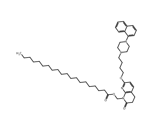 CCCCCCCCCCCCCCCCCCCC(=O)OCN1C(=O)CCc2ccc(OCCCCN3CCN(c4cccc5ccccc45)CC3)nc21